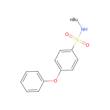 CCCCNS(=O)(=O)c1c[c]c(Oc2ccccc2)cc1